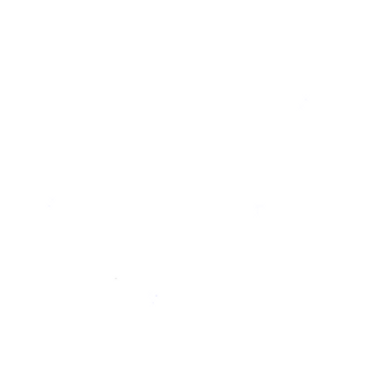 [C]1=C\C=C\C=C/CCC\C=C/1